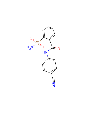 N#Cc1ccc(NC(=O)c2ccccc2S(N)(=O)=O)cc1